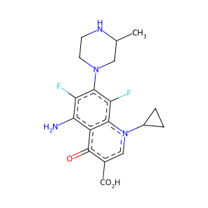 CC1CN(c2c(F)c(N)c3c(=O)c(C(=O)O)cn(C4CC4)c3c2F)CCN1